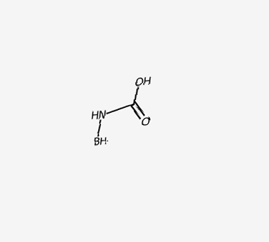 [BH]NC(=O)O